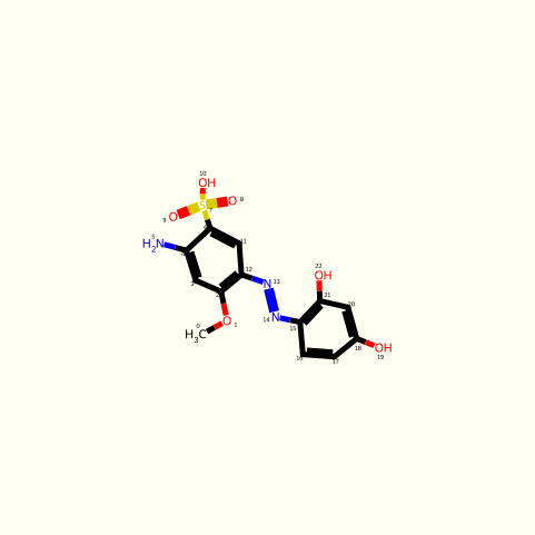 COc1cc(N)c(S(=O)(=O)O)cc1N=Nc1ccc(O)cc1O